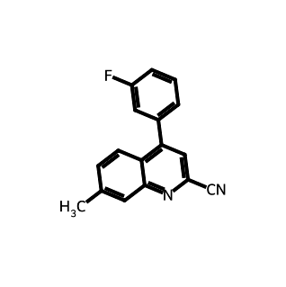 Cc1ccc2c(-c3cccc(F)c3)cc(C#N)nc2c1